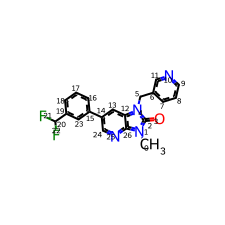 Cn1c(=O)n(Cc2cccnc2)c2cc(-c3cccc(C(F)F)c3)cnc21